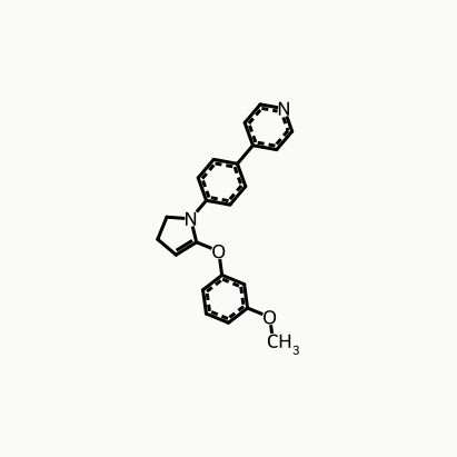 COc1cccc(OC2=CCCN2c2ccc(-c3ccncc3)cc2)c1